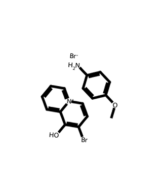 COc1ccc(N)cc1.Oc1c(Br)cc[n+]2ccccc12.[Br-]